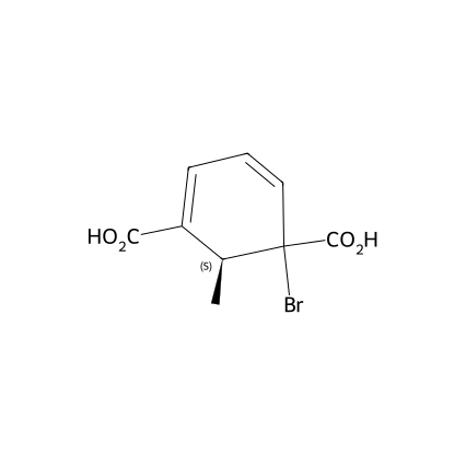 C[C@H]1C(C(=O)O)=CC=CC1(Br)C(=O)O